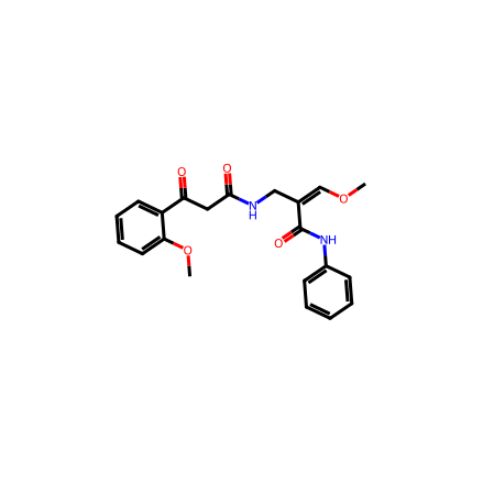 COC=C(CNC(=O)CC(=O)c1ccccc1OC)C(=O)Nc1ccccc1